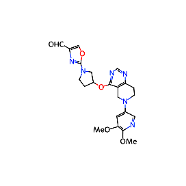 COc1cc(N2CCc3ncnc(OC4CCN(c5nc(C=O)co5)C4)c3C2)cnc1OC